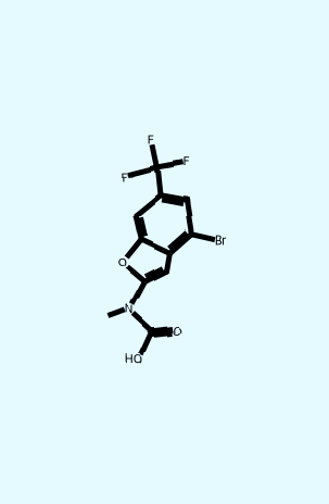 CN(C(=O)O)c1cc2c(Br)cc(C(F)(F)F)cc2o1